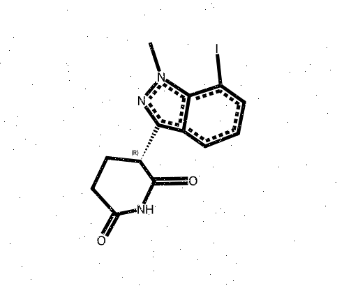 Cn1nc([C@H]2CCC(=O)NC2=O)c2cccc(I)c21